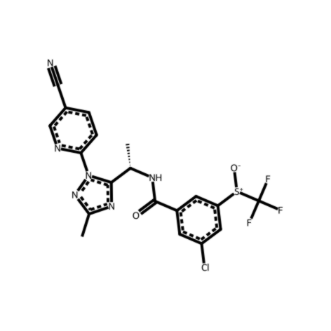 Cc1nc([C@H](C)NC(=O)c2cc(Cl)cc([S+]([O-])C(F)(F)F)c2)n(-c2ccc(C#N)cn2)n1